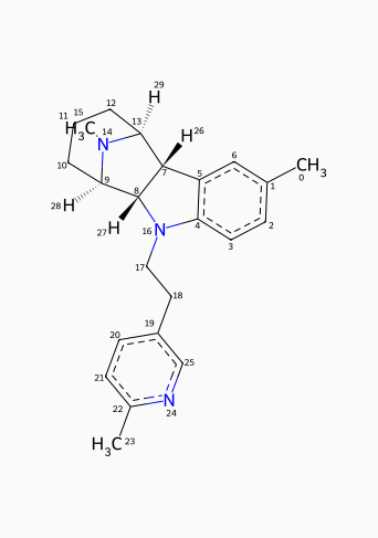 Cc1ccc2c(c1)[C@@H]1[C@@H]([C@H]3CCC[C@@H]1N3C)N2CCc1ccc(C)nc1